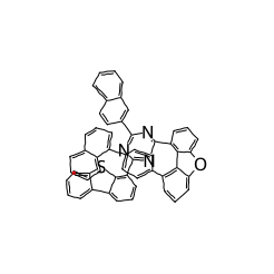 c1ccc2cc(-c3nc(-c4cccc5c4sc4ccccc45)nc(-c4cccc5oc6cccc(-c7ccc(-c8cccc9ccccc89)cc7)c6c45)n3)ccc2c1